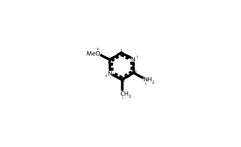 COc1cnc(N)c(C)n1